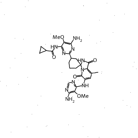 COc1c(N)nc(C2CCCC3(C2)NC(=O)c2c(C)cc(Nc4ncnc(N)c4OC)c(=O)n23)nc1NC(=O)C1CC1